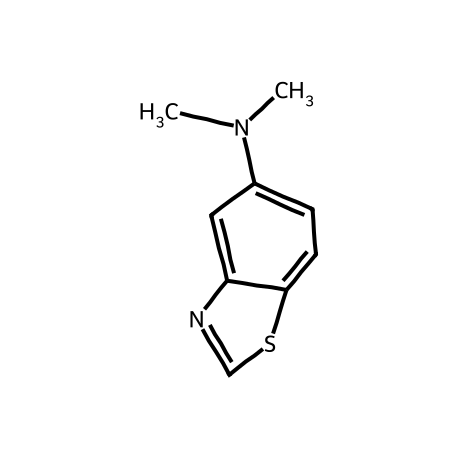 CN(C)c1ccc2scnc2c1